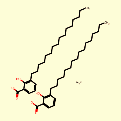 CCCCCCCCCCCCCCCCc1cccc(C(=O)[O-])c1O.CCCCCCCCCCCCCCCCc1cccc(C(=O)[O-])c1O.[Mg+2]